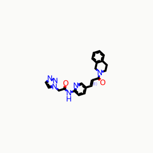 O=C(Cn1ccnn1)Nc1ccc(/C=C/C(=O)N2CCc3ccccc3C2)cn1